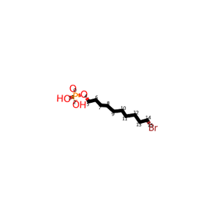 O=P(O)(O)OCCCCCCCCCCBr